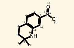 CC1(C)CCc2ccc([N+](=O)[O-])cc2N1